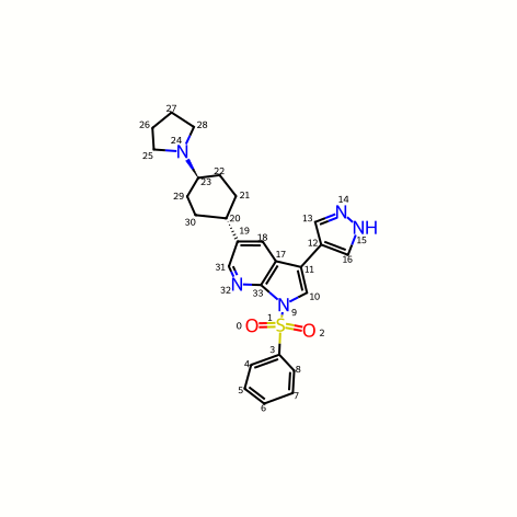 O=S(=O)(c1ccccc1)n1cc(-c2cn[nH]c2)c2cc([C@H]3CC[C@H](N4CCCC4)CC3)cnc21